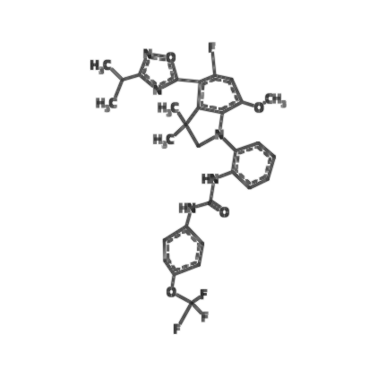 COc1cc(F)c(-c2nc(C(C)C)no2)c2c1N(c1ccccc1NC(=O)Nc1ccc(OC(F)(F)F)cc1)CC2(C)C